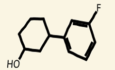 OC1CCCC(c2cccc(F)c2)C1